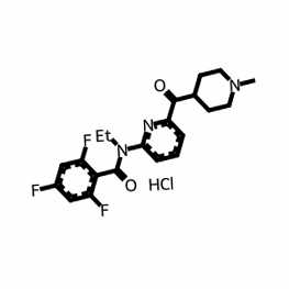 CCN(C(=O)c1c(F)cc(F)cc1F)c1cccc(C(=O)C2CCN(C)CC2)n1.Cl